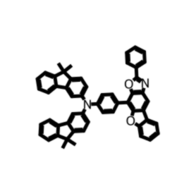 CC1(C)c2ccccc2-c2cc(N(c3ccc(-c4c5oc(-c6ccccc6)nc5cc5c4oc4ccccc45)cc3)c3ccc4c(c3)-c3ccccc3C4(C)C)ccc21